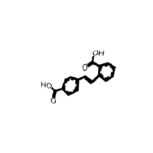 O=C(O)c1ccc(C=Cc2ccccc2C(=O)O)cc1